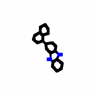 c1ccc2c(c1)Nc1ccc(-c3cccc4ccccc34)cc1N2